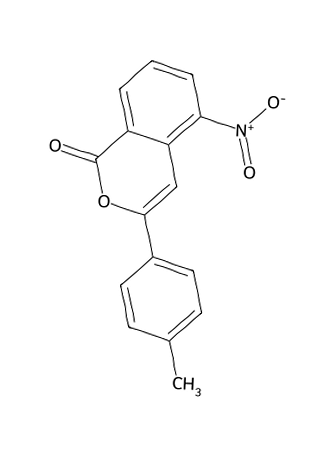 Cc1ccc(-c2cc3c([N+](=O)[O-])cccc3c(=O)o2)cc1